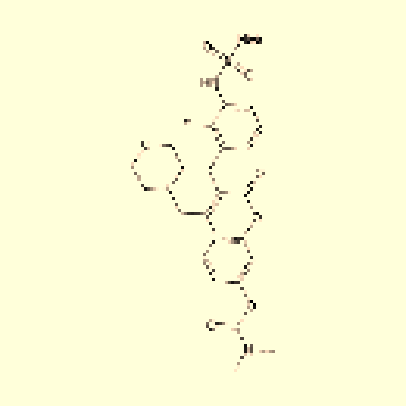 CNS(=O)(=O)Nc1cccc(Cc2c(CN3CCOCC3)c3ccc(OC(=O)N(C)C)cc3oc2=O)c1F